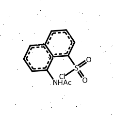 CC(=O)Nc1cccc2cccc(S(=O)(=O)Cl)c12